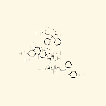 CC(C)(O)CC[C@@H](O)[C@](C)(O)[C@H]1CC[C@@]2(O)C3=CC(=O)[C@@H]4C[C@@H](O)[C@@H](O)C[C@]4(C)[C@H]3CC[C@]12C.CC(C)N(CCC(C(N)=O)(c1ccccc1)c1ccccn1)C(C)C.CNCCC(Oc1ccc(C(F)(F)F)cc1)c1ccccc1